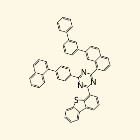 c1ccc(-c2cccc(-c3ccc4cccc(-c5nc(-c6ccc(-c7cccc8ccccc78)cc6)nc(-c6cccc7c6sc6ccccc67)n5)c4c3)c2)cc1